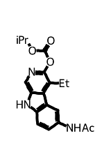 CCc1c(OC(=O)OC(C)C)ncc2[nH]c3ccc(NC(C)=O)cc3c12